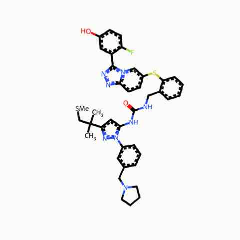 CSCC(C)(C)c1cc(NC(=O)NCc2ccccc2Sc2ccc3nnc(-c4cc(O)ccc4F)n3c2)n(-c2cccc(CN3CCCC3)c2)n1